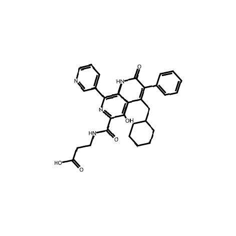 O=C(O)CCNC(=O)c1nc(-c2cccnc2)c2[nH]c(=O)c(-c3ccccc3)c(CC3CCCCC3)c2c1O